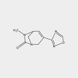 CN1C(=O)N2CC(c3ncon3)=CC1C2